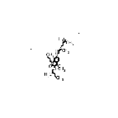 CCCCn1c(=O)c(OCC(C)CCC)c(OC)c2ccc(NC/C=C(\C)CCC=C(C)C)cc21